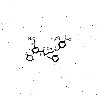 CCNc1cc(C(=O)N[C@@H](Cc2ccccc2)[C@H](O)CNCc2ccc([N+](=O)[O-])c(OC)c2)cc(N2CCCC2=O)c1